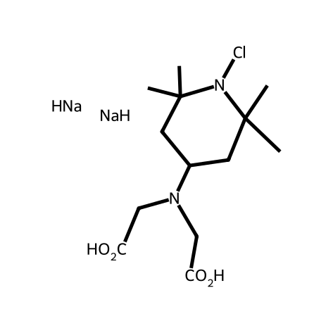 CC1(C)CC(N(CC(=O)O)CC(=O)O)CC(C)(C)N1Cl.[NaH].[NaH]